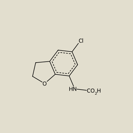 O=C(O)Nc1cc(Cl)cc2c1OCC2